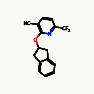 N#Cc1ccc(C(F)(F)F)nc1OC1Cc2ccccc2C1